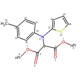 CCCOC(=O)C(C(=O)OCCC)N(c1ccc(C)cc1)c1cccs1